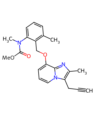 C#CCc1c(C)nc2c(OCc3c(C)cccc3N(C)C(=O)OC)cccn12